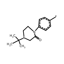 CC(C)(C)N1CCN(c2ccc(F)cc2)C(=O)C1